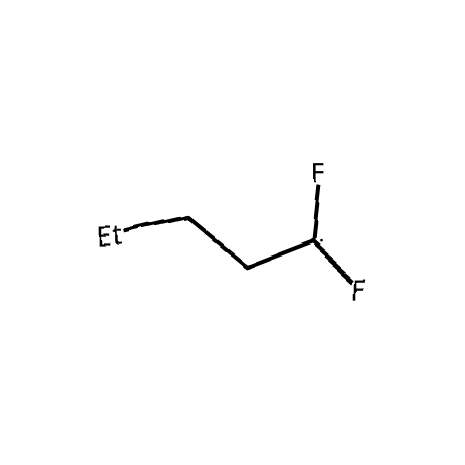 CCCC[C](F)F